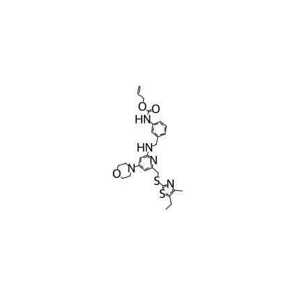 C=CCOC(=O)Nc1cccc(CNc2cc(N3CCOCC3)cc(CSc3nc(C)c(CC)s3)n2)c1